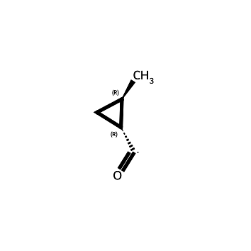 C[C@@H]1C[C@H]1[C]=O